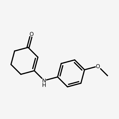 COc1ccc(NC2=CC(=O)CCC2)cc1